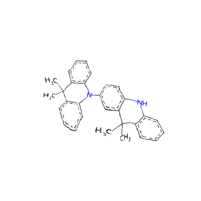 CC1(C)c2ccccc2Nc2ccc(N3c4ccccc4C(C)(C)c4ccccc43)cc21